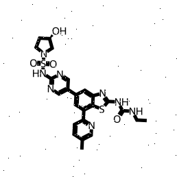 CCNC(=O)Nc1nc2cc(-c3cnc(NS(=O)(=O)N4CC[C@@H](O)C4)nc3)cc(-c3ccc(C)cn3)c2s1